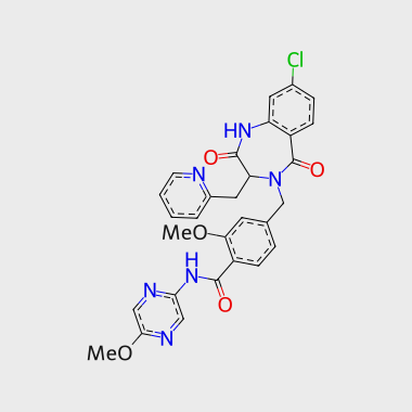 COc1cnc(NC(=O)c2ccc(CN3C(=O)c4ccc(Cl)cc4NC(=O)C3Cc3ccccn3)cc2OC)cn1